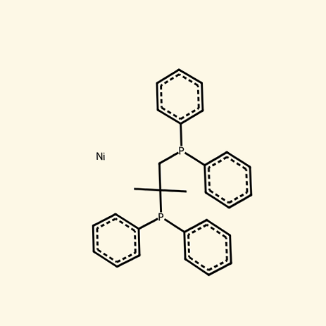 CC(C)(CP(c1ccccc1)c1ccccc1)P(c1ccccc1)c1ccccc1.[Ni]